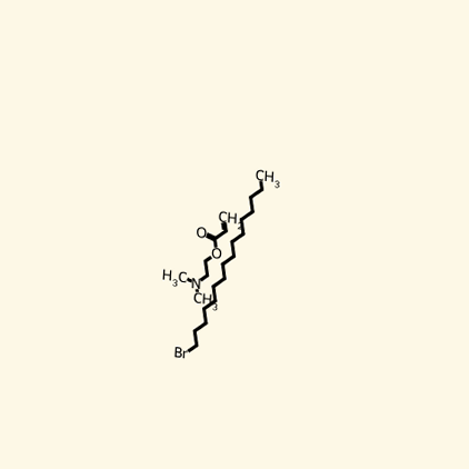 C=CC(=O)OCCN(C)C.CCCCCCCCCCCCCCCCBr